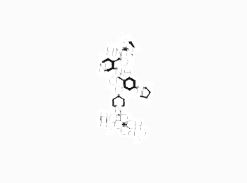 CC(C)(C)OC(O)N1CCC(Oc2cc(N3CCCC3)ccc2C(=O)Nc2cnccc2C(=O)Nc2nccs2)CC1